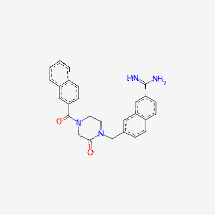 N=C(N)c1ccc2ccc(CN3CCN(C(=O)c4ccc5ccccc5c4)CC3=O)cc2c1